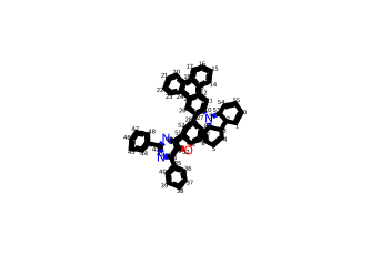 C1=CC2C3C=CC=CC3N(c3cc4c5ccccc5c5ccccc5c4cc3-c3ccc4oc5c(-c6ccccc6)nc(-c6ccccc6)nc5c4c3)C2C=C1